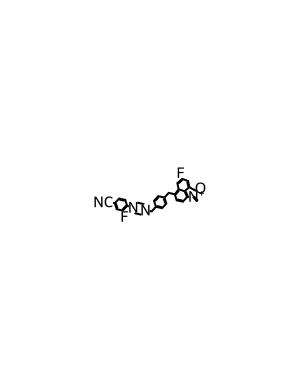 C=[n+]1c(=O)c2cc(F)cc3c(Cc4ccc(CN5CCN(c6ccc(C#N)cc6F)CC5)cc4)ccc1c32